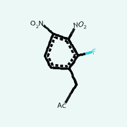 CC(=O)Cc1ccc([N+](=O)[O-])c([N+](=O)[O-])c1F